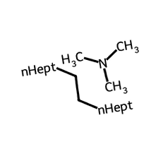 CN(C)C.[CH2]CCCCCCCCCCCCCCC